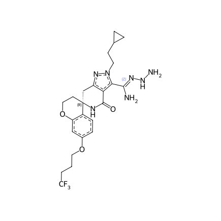 NN/N=C(\N)c1c2c(nn1CCC1CC1)C[C@]1(CCOc3cc(OCCCC(F)(F)F)ccc31)NC2=O